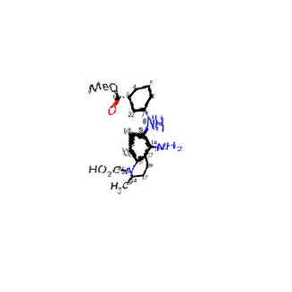 COC(=O)[C@@H]1CCC[C@@H](Nc2ccc3c(c2N)CCC(C)N3C(=O)O)C1